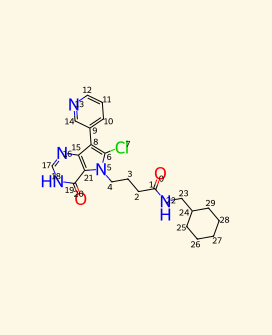 O=C(CCCn1c(Cl)c(-c2cccnc2)c2nc[nH]c(=O)c21)NCC1CCCCC1